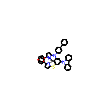 c1ccc(-c2ccc(N3c4cc(-n5c6ccccc6c6ccccc65)cc5c4B(n4c(ccc4-c4ccccc4)S5)n4c(-c5ccccc5)ccc43)cc2)cc1